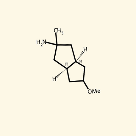 COC1C[C@@H]2CC(C)(N)C[C@@H]2C1